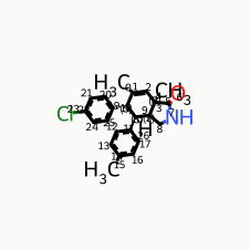 CC1=C[C@@]2(C)C(=O)NC[C@H]2[C@@H](c2ccc(C)cc2)[C@@H]1c1ccc(Cl)cc1